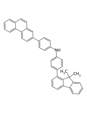 CC1(C)c2ccccc2-c2cccc(-c3ccc(Nc4ccc(-c5ccc6c(ccc7ccccc76)c5)cc4)cc3)c21